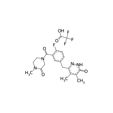 Cc1c(Cc2ccc(F)c(C(=O)N3CCN(C)C(=O)C3)c2)n[nH]c(=O)c1C.O=C(O)C(F)(F)F